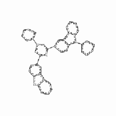 c1ccc(-c2nc(-c3ccc4sc5ccccc5c4c3)nc(-c3ccc4c(c3)c3ccccc3n4-c3ccccc3)n2)cc1